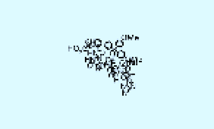 COc1ccc(C(OC[C@@H]2C[C@@H](OS(=O)(=O)NC[C@H]3O[C@@H](n4cnc5cncnc54)[C@H](F)[C@@H]3O[Si](C)(C)C(C)(C)C)[C@H](n3cnc4c(=O)[nH]c(NC(=O)c5ccccc5CN(C)C(=O)O)nc43)O2)(c2ccccc2)c2ccc(OC)cc2)cc1